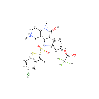 Cc1c(S(=O)(=O)N2CC(C(=O)N(C)C3CCN(C)CC3)c3ccccc32)sc2ccc(Cl)cc12.O=C(O)C(F)(F)F